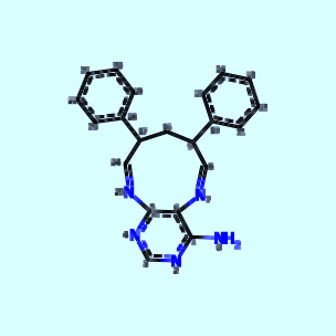 Nc1ncnc2c1/N=C\C(c1ccccc1)CC(c1ccccc1)/C=N\2